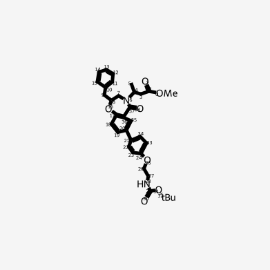 COC(=O)CC(C)N1CC(Cc2ccccc2)Oc2ccc(-c3ccc(OCCNC(=O)OC(C)(C)C)cc3)cc2C1=O